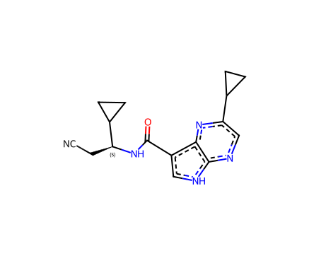 N#CC[C@H](NC(=O)c1c[nH]c2ncc(C3CC3)nc12)C1CC1